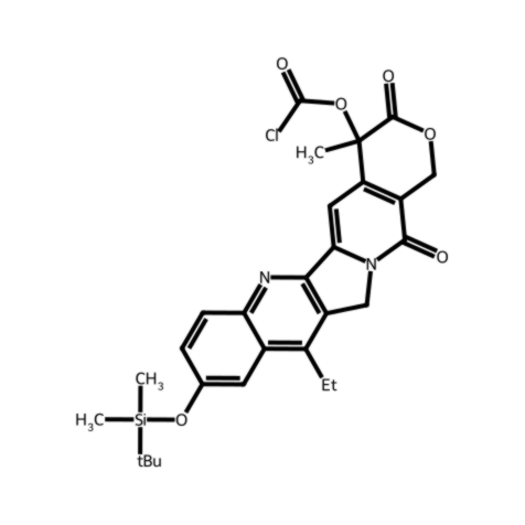 CCc1c2c(nc3ccc(O[Si](C)(C)C(C)(C)C)cc13)-c1cc3c(c(=O)n1C2)COC(=O)C3(C)OC(=O)Cl